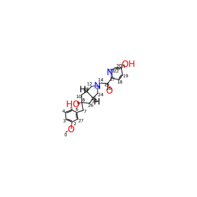 COc1cccc(C[C@]2(O)C[C@H]3CN(CC(=O)c4ccc(O)cn4)C[C@H]3C2)c1